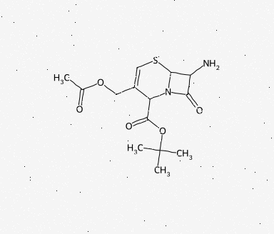 CC(=O)OCC1=CSC2C(N)C(=O)N2C1C(=O)OC(C)(C)C